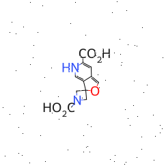 O=C(O)C1=CC2=COC3(CN(C(=O)O)C3)C2=CN1